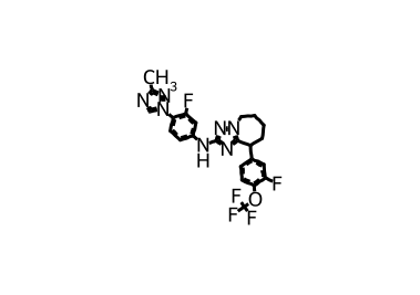 Cc1ncn(-c2ccc(Nc3nc4n(n3)CCCCC4c3ccc(OC(F)(F)F)c(F)c3)cc2F)n1